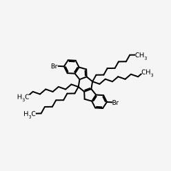 CCCCCCCCC1(CCCCCCCC)C2=Cc3ccc(Br)cc3C2C(CCCCCCCC)(CCCCCCCC)C2=C1c1cc(Br)ccc1C2